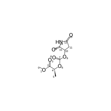 COC(=O)[C@H](C)OC(=O)OC1CC(=O)NC1=O